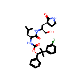 CC(C)C[C@H](NC(=O)O[C@@H](c1ccccc1)C(C)(C)c1cccc(Cl)c1)C(=O)N[C@H](CO)C[C@@H]1CCNC1=O